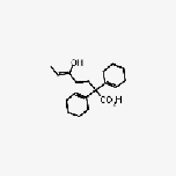 CC=C(O)CCC(C(=O)O)(C1=CCCCC1)C1=CCCCC1